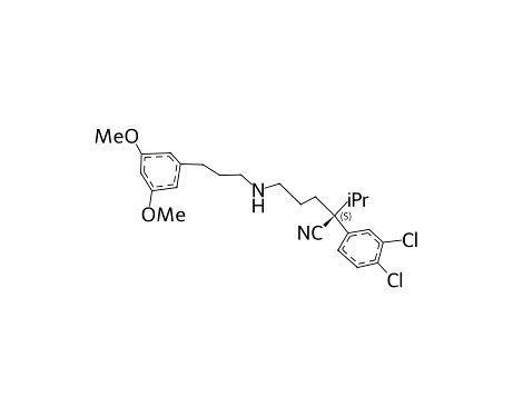 COc1cc(CCCNCCC[C@@](C#N)(c2ccc(Cl)c(Cl)c2)C(C)C)cc(OC)c1